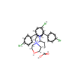 CCC(N(Cc1ccc(Br)cc1)Cc1ccc(Br)cc1)[N+]1(Cc2ccc(Br)cc2)CCOCC1.O=C[O-]